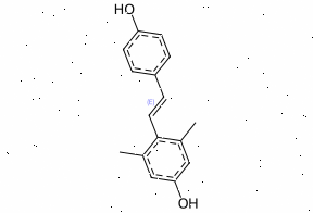 Cc1cc(O)cc(C)c1/C=C/c1ccc(O)cc1